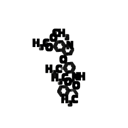 CCC(OC(=O)Nc1ccc(Oc2ccnc3cc(OC)c(OC)cc23)c(C)c1C)c1ccccc1